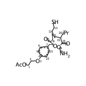 CC(=O)OCCOc1ccc(S(=O)(=O)N(CCS)C(C(=O)ON)C(C)C)cc1